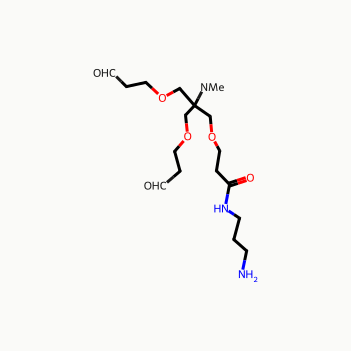 CNC(COCCC=O)(COCCC=O)COCCC(=O)NCCCN